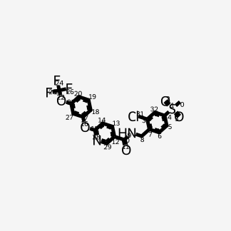 CS(=O)(=O)c1ccc(CNC(=O)c2ccc(Oc3cccc(OC(F)(F)F)c3)nc2)c(Cl)c1